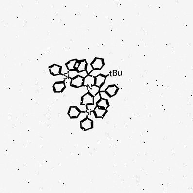 CC(C)(C)c1cc2c3c(c1)C(c1ccccc1)(c1ccccc1)c1cc([Si](c4ccccc4)(c4ccccc4)c4ccccc4)ccc1N3c1ccc([Si](c3ccccc3)(c3ccccc3)c3ccccc3)cc1C2(c1ccccc1)c1ccccc1